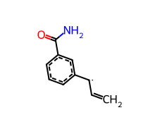 C=C[CH]c1cccc(C(N)=O)c1